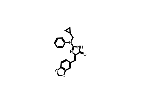 O=C1NC(N(CC2CC2)c2ccccc2)=N/C1=C\c1ccc2c(c1)OCO2